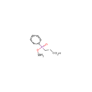 O=C(O)CCP(=O)([O][SbH2])c1ccccc1